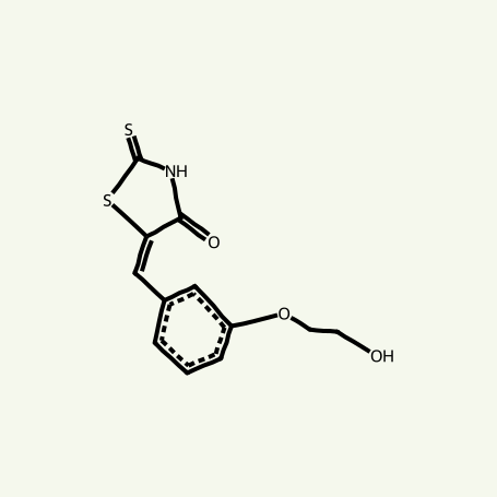 O=C1NC(=S)SC1=Cc1cccc(OCCO)c1